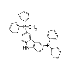 C=P(c1ccccc1)(c1ccccc1)c1ccc2[nH]c3ccc(P(c4ccccc4)c4ccccc4)cc3c2c1